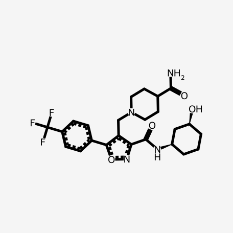 NC(=O)C1CCN(Cc2c(C(=O)N[C@@H]3CCC[C@H](O)C3)noc2-c2ccc(C(F)(F)F)cc2)CC1